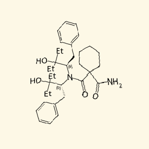 CCC(O)(CC)[C@@H](Cc1ccccc1)N(C(=O)C1(C(N)=O)CCCCC1)[C@H](Cc1ccccc1)C(O)(CC)CC